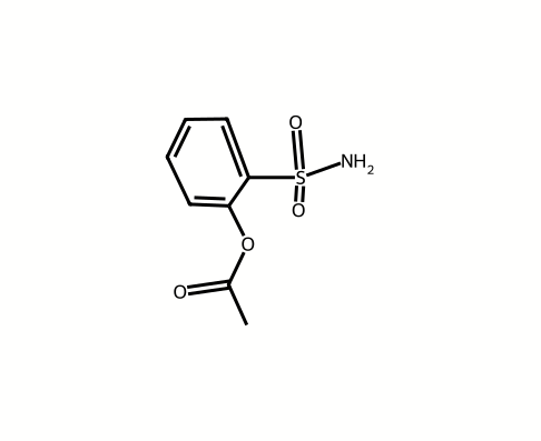 CC(=O)Oc1ccccc1S(N)(=O)=O